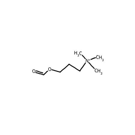 C[N+](C)(C)CCCOC=O